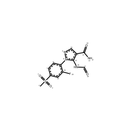 CS(=O)(=O)c1ccc(-n2ncc(C(N)=O)c2NC=O)c(F)c1